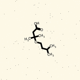 CC(C)CCOC(C)(C)CC(=O)O